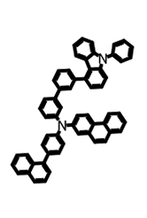 c1ccc(-n2c3ccccc3c3c(-c4cccc(-c5cccc(N(c6ccc(-c7cccc8ccccc78)cc6)c6ccc7c(ccc8ccccc87)c6)c5)c4)cccc32)cc1